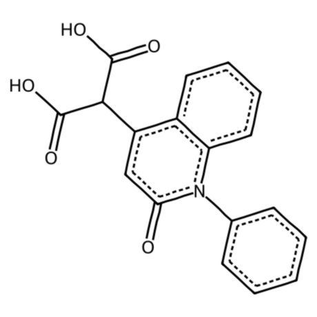 O=C(O)C(C(=O)O)c1cc(=O)n(-c2ccccc2)c2ccccc12